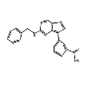 NC(=O)c1cccc(-c2cnn3ccc(NCc4cccnc4)nc23)c1